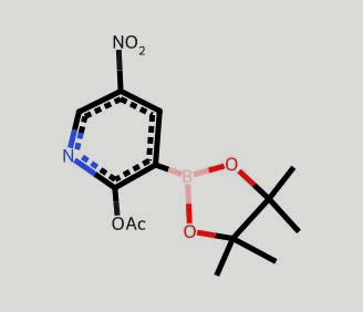 CC(=O)Oc1ncc([N+](=O)[O-])cc1B1OC(C)(C)C(C)(C)O1